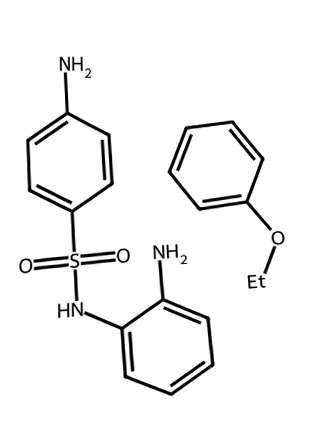 CCOc1ccccc1.Nc1ccc(S(=O)(=O)Nc2ccccc2N)cc1